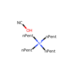 CCCCC[N+](CCCCC)(CCCCC)CCCCC.N#CO